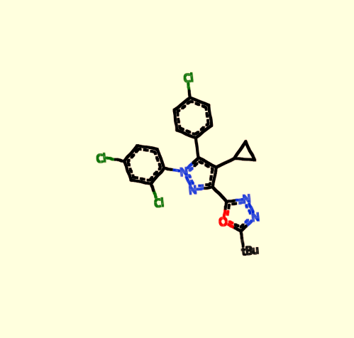 CC(C)(C)c1nnc(-c2nn(-c3ccc(Cl)cc3Cl)c(-c3ccc(Cl)cc3)c2C2CC2)o1